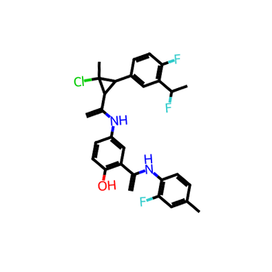 C=C(Nc1ccc(C)cc1F)c1cc(NC(=C)C2C(c3ccc(F)c(C(C)F)c3)C2(C)Cl)ccc1O